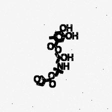 Cc1cc(O)c(O)cc1C(=O)OC[C@@H](O)CNC(C)(C)COC(=O)C1CCOC1